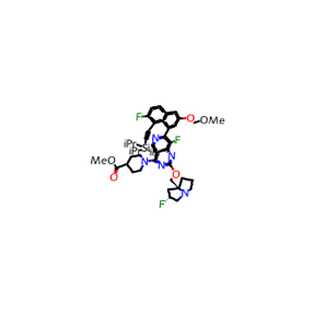 COCOc1cc(-c2ncc3c(N4CCC(C(=O)OC)CC4)nc(OC[C@@]45CCCN4C[C@H](F)C5)nc3c2F)c2c(C#C[Si](C(C)C)(C(C)C)C(C)C)c(F)ccc2c1